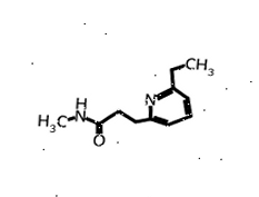 CCc1cccc(CCC(=O)NC)n1